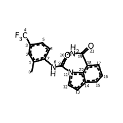 Cc1cc(C(F)(F)F)ccc1NC(=O)n1ccc2cccc(C(N)=O)c21